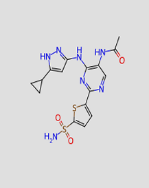 CC(=O)Nc1cnc(-c2ccc(S(N)(=O)=O)s2)nc1Nc1cc(C2CC2)[nH]n1